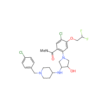 CNC(=O)c1cc(Cl)c(OCC(F)F)cc1N1CC(O)C(NC2CCN(Cc3ccc(Cl)cc3)CC2)C1